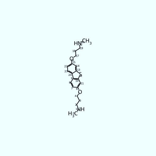 CNCCCOc1ccc2c(c1)sc1cc(OCCCNC)ccc12